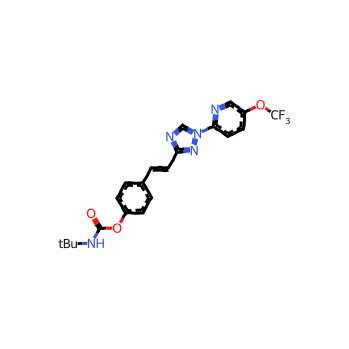 CC(C)(C)NC(=O)Oc1ccc(/C=C/c2ncn(-c3ccc(OC(F)(F)F)cn3)n2)cc1